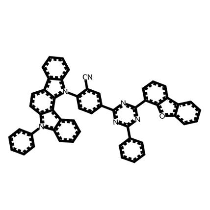 N#Cc1cc(-c2nc(-c3ccccc3)nc(-c3cccc4c3oc3ccccc34)n2)ccc1-n1c2ccccc2c2ccc3c(c4ccccc4n3-c3ccccc3)c21